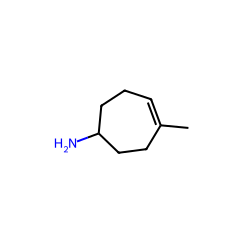 CC1=CCCC(N)CC1